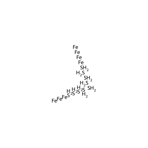 S.S.S.S.S.S.S.S.S.[Fe].[Fe].[Fe].[Fe].[Fe].[Fe].[Fe]